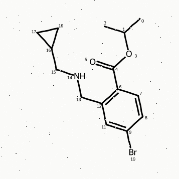 CC(C)OC(=O)c1ccc(Br)cc1CNCC1CC1